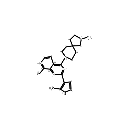 Cc1[nH]ncc1-c1nc(N2CCC3(CCN(C)C3)CC2)c2ccnc(Cl)c2n1